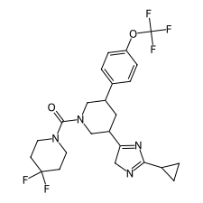 O=C(N1CCC(F)(F)CC1)N1CC(C2=NC(C3CC3)=NC2)CC(c2ccc(OC(F)(F)F)cc2)C1